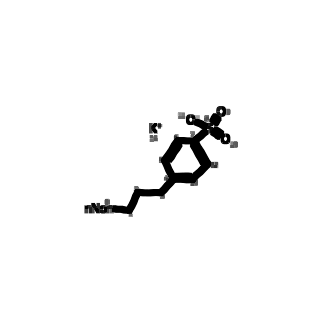 CCCCCCCCCCCCc1ccc(S(=O)(=O)[O-])cc1.[K+]